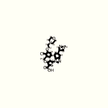 C[C@@H](Oc1cc(-n2cnc3cc(-c4cnn(C)c4)ccc32)sc1C(=O)O)c1cccc(OCCN2CCOCC2)c1Cl